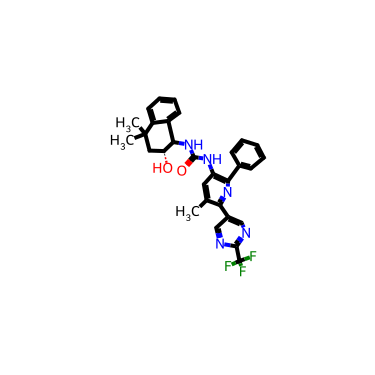 Cc1cc(NC(=O)NC2c3ccccc3C(C)(C)C[C@H]2O)c(-c2ccccc2)nc1-c1cnc(C(F)(F)F)nc1